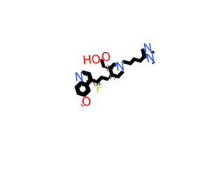 COc1ccc2nccc([C@@H](F)CC[C@@H]3CCN(CCCCc4cncn4C)C[C@@H]3CC(=O)O)c2c1